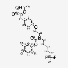 CCOC(Cc1ccc(OCCN(CCCCCC(C)(F)F)C(=O)Oc2cc(C)c(C)cc2C)cc1)C(=O)O